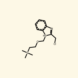 C[Si](C)(C)CCOC[SH]1C(CCl)=Nc2ccccc21